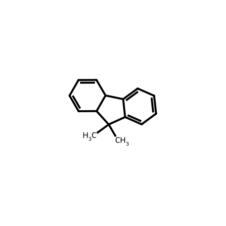 CC1(C)c2ccccc2C2C=CC=CC21